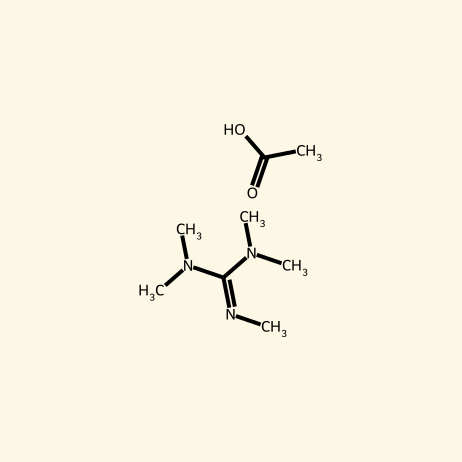 CC(=O)O.CN=C(N(C)C)N(C)C